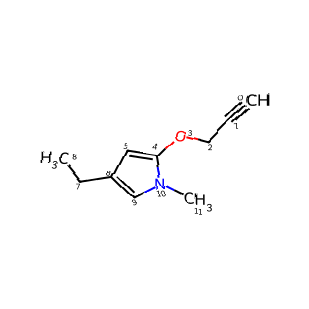 C#CCOc1cc(CC)cn1C